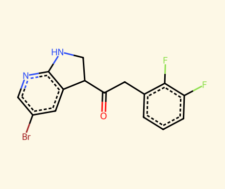 O=C(Cc1cccc(F)c1F)C1CNc2ncc(Br)cc21